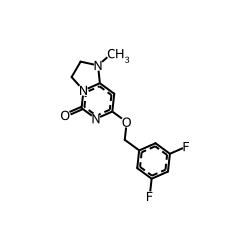 CN1CCn2c1cc(OCc1cc(F)cc(F)c1)nc2=O